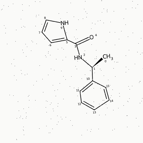 C[C@H](NC(=O)c1ccc[nH]1)c1ccccc1